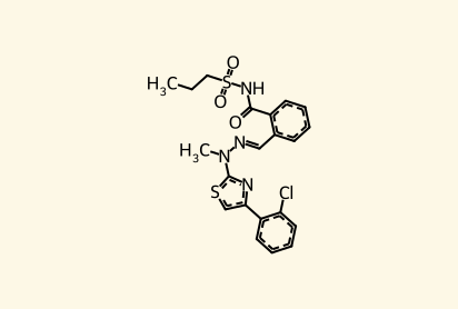 CCCS(=O)(=O)NC(=O)c1ccccc1/C=N/N(C)c1nc(-c2ccccc2Cl)cs1